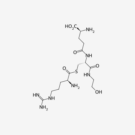 N=C(N)NCCC[C@H](N)C(=O)SC[C@H](NC(=O)CC[C@H](N)C(=O)O)C(=O)NCCO